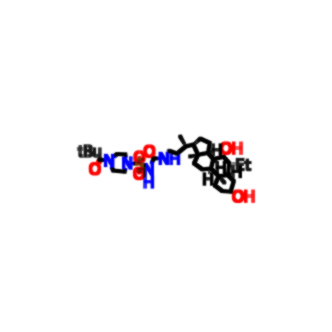 CC[C@H]1[C@@H](O)[C@@H]2[C@H](CC[C@]3(C)[C@@H]([C@H](C)CCNC(=O)NS(=O)(=O)N4CCN(C(=O)C(C)(C)C)CC4)CC[C@@H]23)[C@@]2(C)CC[C@@H](O)C[C@@H]12